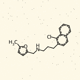 Cc1ccc(CNCCCc2ccc3ccccc3c2Cl)o1